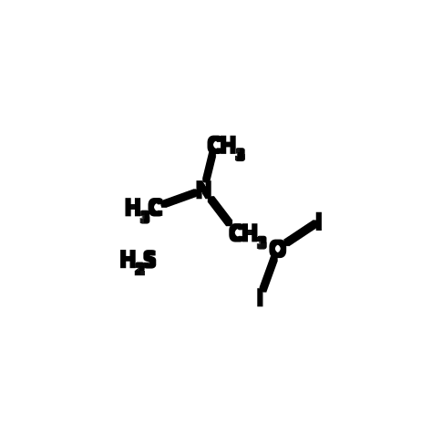 CN(C)C.IOI.S